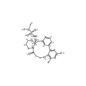 O=C1CCOc2c(F)cc(F)cc2-c2cccc(c2)C[C@H]2[C@@H](NS(=O)(=O)C(F)F)CCCN12